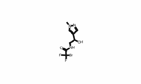 Cn1cc(C(O)CNC(=O)C(F)(F)Br)cn1